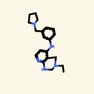 CCN1CNc2nccc(Nc3cccc(CN4CCCC4)c3)c2C1